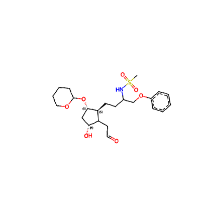 CS(=O)(=O)NC(CC[C@H]1C(CC=O)[C@H](O)C[C@@H]1OC1CCCCO1)COc1ccccc1